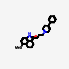 COc1ccc2c3c1CCCC3(CCCCN1CC=C(c3ccccc3)CC1)C(=O)N2